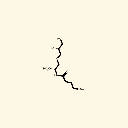 CCCCCCCCCCCCCC(=O)N[C@@H](CSC[C@H](O)CO)C(=O)O